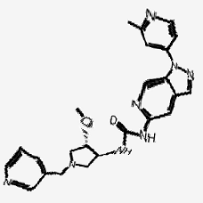 CO[C@H]1CN(Cc2cccnc2)C[C@@H]1NC(=O)Nc1cc2cnn(-c3ccnc(C)c3)c2cn1